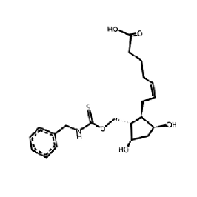 O=C(O)CCC/C=C\C[C@@H]1[C@@H](COC(=S)NCc2ccccc2)[C@H](O)C[C@@H]1O